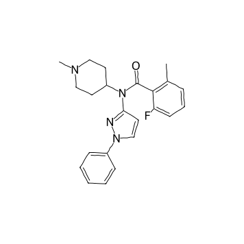 Cc1cccc(F)c1C(=O)N(c1ccn(-c2ccccc2)n1)C1CCN(C)CC1